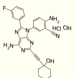 Cl.Cl.N#Cc1cc(-n2c(-c3cccc(F)c3)nc3c(N)nc(C#CC4(O)CCCCC4)nc32)ccc1N